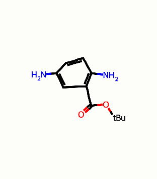 CC(C)(C)OC(=O)c1cc(N)ccc1N